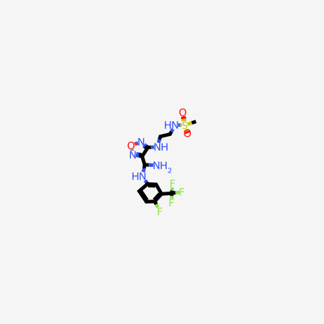 CS(=O)(=O)NCCNc1nonc1C(N)Nc1ccc(F)c(C(F)(F)F)c1